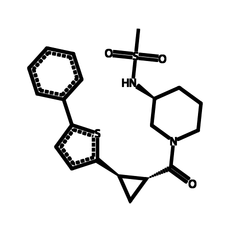 CS(=O)(=O)N[C@H]1CCCN(C(=O)[C@@H]2C[C@H]2c2ccc(-c3ccccc3)s2)C1